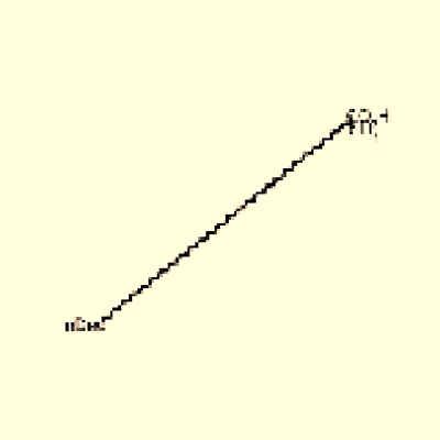 CCCCCCCCCCCCCCCCCCCCCCCCCCCCCCCCCCCCCCCCCCCCCCCCCCCCCCCCCCCCC=C(C)C(=O)O